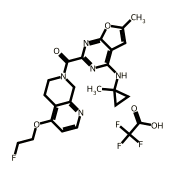 Cc1cc2c(NC3(C)CC3)nc(C(=O)N3CCc4c(OCCF)ccnc4C3)nc2o1.O=C(O)C(F)(F)F